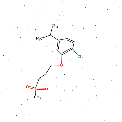 CC(C)c1ccc(Cl)c(OCCCS(C)(=O)=O)c1